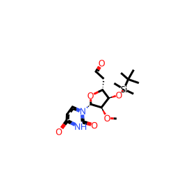 CO[C@@H]1[C@H](O[Si](C)(C)C(C)(C)C)[C@@H](CC=O)O[C@H]1n1ccc(=O)[nH]c1=O